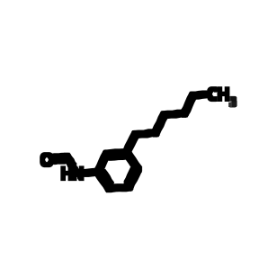 CCCCCCc1cccc(NC=O)c1